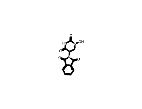 O=C1NC(=O)N(O)CC1N1C(=O)c2ccccc2C1=O